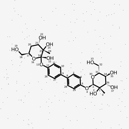 C[C@@]1(O)[C@@H](Oc2ccc(-c3ccc(O[C@]4(O)O[C@@H](CO)C[C@H](O)[C@]4(C)O)cc3)cc2)O[C@H](CO)[C@@H](O)[C@@H]1O